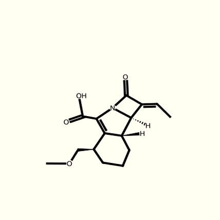 C/C=C1/C(=O)N2C(C(=O)O)=C3[C@H](COC)CCC[C@H]3[C@H]12